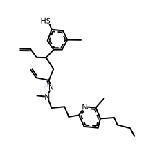 C=CCC(C/C(C=C)=N/N(C)CCCc1ccc(CCCC)c(C)n1)c1cc(C)cc(S)c1